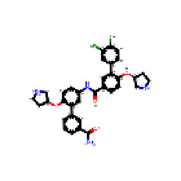 NC(=O)c1cccc(-c2cc(NC(=O)c3ccc(O[C@H]4CCNC4)c(-c4ccc(F)c(F)c4)c3)ccc2O[C@H]2CCNC2)c1